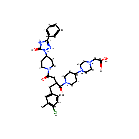 Cc1cc(CC(CC(=O)N2CCC(n3nc(-c4ccccc4)[nH]c3=O)CC2)C(=O)N2CCC(N3CCN(CC(=O)O)CC3)CC2)ccc1Cl